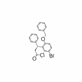 O=C(Cl)C[C@@H](c1ccccc1)c1cc(Br)ccc1OCc1ccccc1